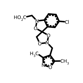 Cc1noc(C)c1CN1OCC2(O1)ON(CC(=O)O)c1ccc(Cl)cc12